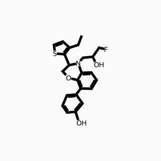 CCc1ccsc1C1COc2c(-c3cccc(O)c3)cccc2N1CC(O)CF